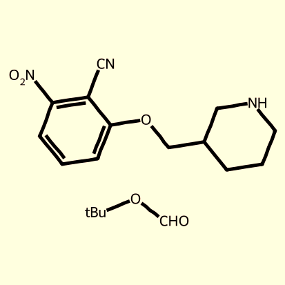 CC(C)(C)OC=O.N#Cc1c(OCC2CCCNC2)cccc1[N+](=O)[O-]